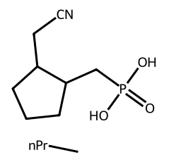 CCCC.N#CCC1CCCC1CP(=O)(O)O